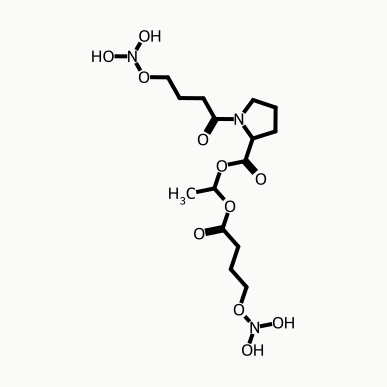 CC(OC(=O)CCCON(O)O)OC(=O)C1CCCN1C(=O)CCCON(O)O